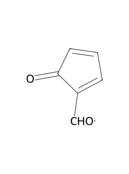 O=[C]C1=CC=CC1=O